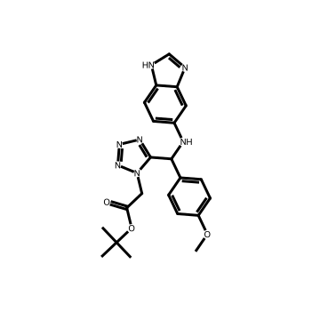 COc1ccc(C(Nc2ccc3[nH]cnc3c2)c2nnnn2CC(=O)OC(C)(C)C)cc1